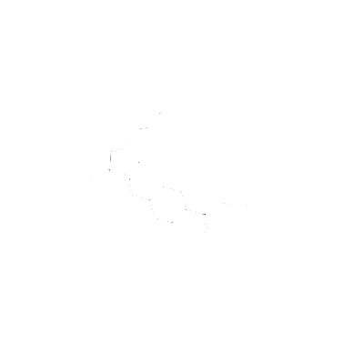 CC(C)SCC1CC(=O)N(CC2CCC(C(=O)OC(C)(C)C)CC2)C1